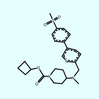 CN(Cc1ccc(-c2ccc(S(C)(=O)=O)cc2)cn1)C1CCN(C(=O)OC2CCC2)CC1